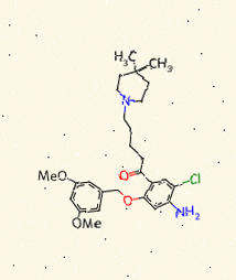 COc1cc(COc2cc(N)c(Cl)cc2C(=O)CCCCN2CCC(C)(C)CC2)cc(OC)c1